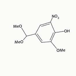 COc1cc(C(OC)OC)cc([N+](=O)[O-])c1O